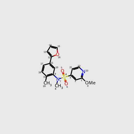 COc1cc(S(=O)(=O)N(C)c2cc(-c3ccco3)ccc2C)ccn1